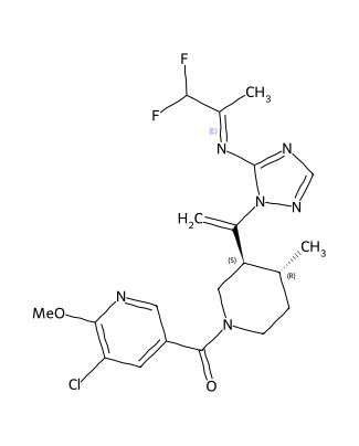 C=C([C@@H]1CN(C(=O)c2cnc(OC)c(Cl)c2)CC[C@H]1C)n1ncnc1/N=C(\C)C(F)F